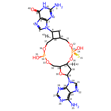 Nc1nc2c(ncn2C2CC3COP(O)(=S)O[C@H]4CC(n5cnc6c(N)ncnc65)OC4COP(O)OC[C@H]32)c(=O)[nH]1